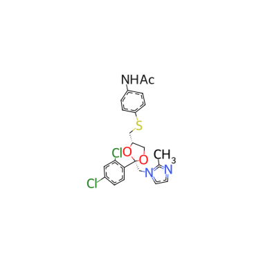 CC(=O)Nc1ccc(SC[C@@H]2CO[C@@](Cn3ccnc3C)(c3ccc(Cl)cc3Cl)O2)cc1